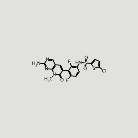 Cn1c(=O)c(-c2c(F)ccc(NS(=O)(=O)c3ccc(Cl)s3)c2F)cc2cnc(N)nc21